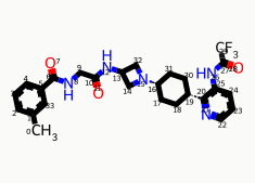 Cc1cccc(C(=O)NCC(=O)NC2CN([C@H]3CC[C@@H](c4ncccc4NC(=O)C(F)(F)F)CC3)C2)c1